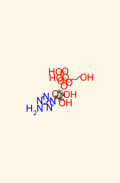 Nc1ncnc2c1ncn2[C@@H]1O[C@H](COP(=O)(OCCCO)OP(=O)(O)O)[C@@H](O)[C@H]1O